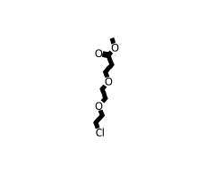 COC(=O)CCOCCOCCCl